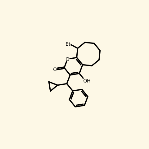 CCC1CCCCCc2c1oc(=O)c(C(c1ccccc1)C1CC1)c2O